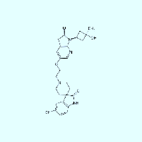 C[C@]1(O)C[C@@H](N2C(=O)Cc3cc(OCCN4CCC5(CC4)C(=O)Nc4ccc(Cl)cc45)cnc32)C1